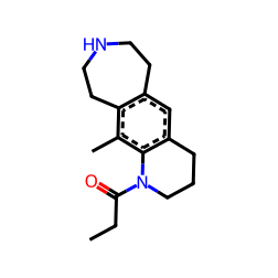 CCC(=O)N1CCCc2cc3c(c(C)c21)CCNCC3